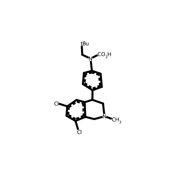 CN1Cc2c(Cl)cc(Cl)cc2C(c2ccc(N(CC(C)(C)C)C(=O)O)cc2)C1